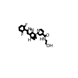 CC1(C)[C@H]2CC[C@@]1(c1cc(C(=O)NCCO)ccn1)c1nnc(-c3c(F)cccc3F)cc12